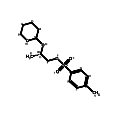 Cc1ccc(S(=O)(=O)OC[C@H](C)OC2CCCCO2)cc1